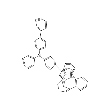 c1ccc(-c2ccc(N(c3ccccc3)c3ccc(-c4ccc5c(c4)C4=C6CCC=C4c4cccc-5c4-c4ccccc46)cc3)cc2)cc#1